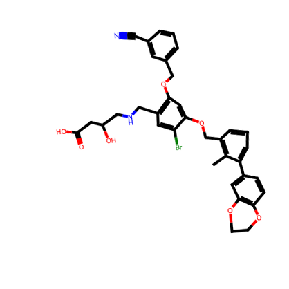 Cc1c(COc2cc(OCc3cccc(C#N)c3)c(CNCC(O)CC(=O)O)cc2Br)cccc1-c1ccc2c(c1)OCCO2